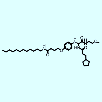 CCCCCCCCCCCCNC(=O)CCCOc1ccc(NC(NC(=O)CCC2CCCC2)C(=O)NCCOC)cc1